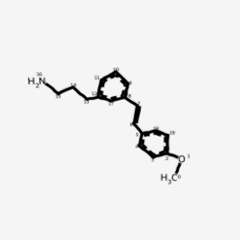 COc1ccc(C=Cc2cccc(CCCN)c2)cc1